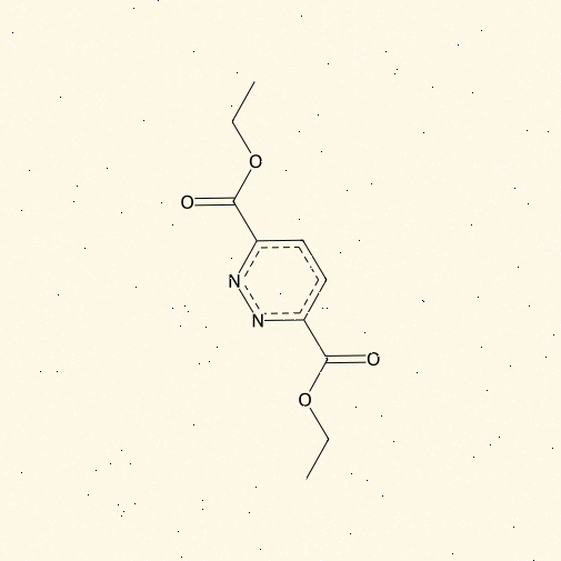 CCOC(=O)c1ccc(C(=O)OCC)nn1